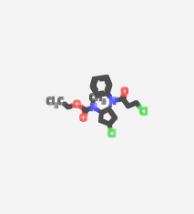 CN(C(=O)OCC(Cl)(Cl)Cl)[C@@H]1CC(Cl)C[C@H]1N(C(=O)CCCl)c1ccccc1